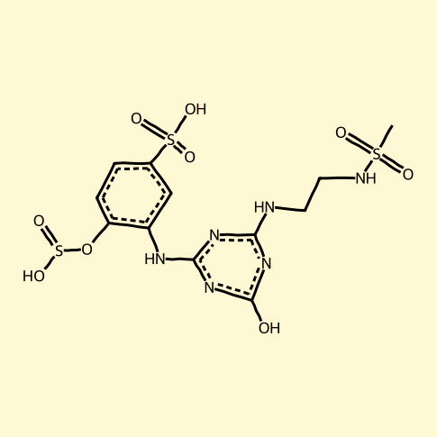 CS(=O)(=O)NCCNc1nc(O)nc(Nc2cc(S(=O)(=O)O)ccc2OS(=O)O)n1